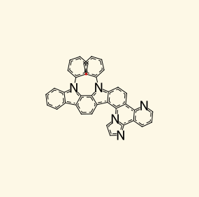 c1ccc(-n2c3ccccc3c3ccc4c5c(ccc6c7ncccc7c7nccn7c65)n(-c5ccccc5)c4c32)cc1